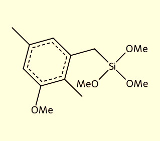 COc1cc(C)cc(C[Si](OC)(OC)OC)c1C